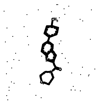 Cc1ccc(-c2ccc3sc(C(=O)N4CCOCC4)cc3c2)cc1